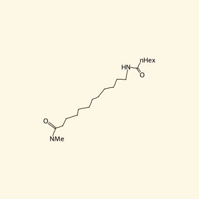 CCCCCCC(=O)NCCCCCCCCCCCC(=O)NC